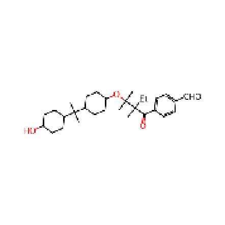 CCC(C)(C(=O)c1ccc(C=O)cc1)C(C)(C)OC1CCC(C(C)(C)C2CCC(O)CC2)CC1